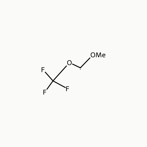 CO[CH]OC(F)(F)F